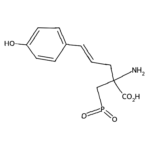 NC(C/C=C/c1ccc(O)cc1)(CP(=O)=O)C(=O)O